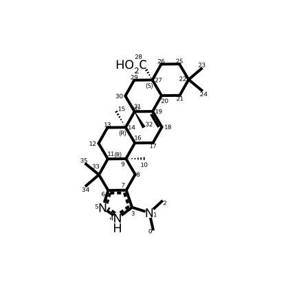 CN(C)c1[nH]nc2c1C[C@@]1(C)C(CC[C@]3(C)C1CC=C1C4CC(C)(C)CC[C@]4(C(=O)O)CC[C@]13C)C2(C)C